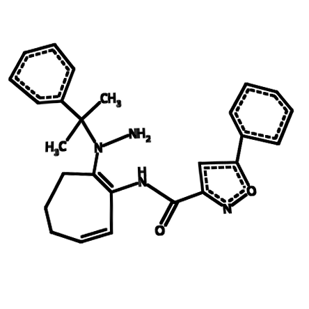 CC(C)(c1ccccc1)N(N)C1=C(NC(=O)c2cc(-c3ccccc3)on2)C=CCCC1